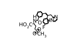 CS(=O)(=O)CC[C@H](NC(=O)c1cccc(C=C(Cc2ncc[nH]2)c2ccc(F)cc2)c1)C(=O)O